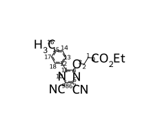 CCOC(=O)CCOc1nc(C#N)c(C#N)nc1-c1ccc(C)cc1